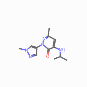 Cc1cc(NC(C)C)c(=O)n(-c2cnn(C)c2)n1